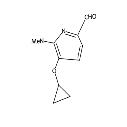 CNc1nc(C=O)ccc1OC1CC1